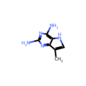 Cc1c[nH]c2c(N)nc(N)nc12